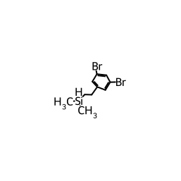 C[SiH](C)CCc1cc(Br)cc(Br)c1